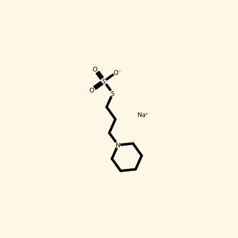 O=S(=O)([O-])SCCCN1CCCCC1.[Na+]